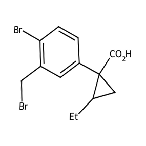 CCC1CC1(C(=O)O)c1ccc(Br)c(CBr)c1